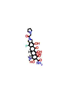 CN(C)[C@@H]1C(O)=C(C(N)=O)C(=O)[C@@]2(O)C(O)=C3C(=O)c4c(O)c5c(c(F)c4C[C@H]3C[C@@H]12)CN(C(=O)CN1CCCC1)C5